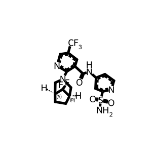 NS(=O)(=O)c1cc(NC(=O)c2cc(C(F)(F)F)cnc2N2C[C@H]3CC[C@@H](C2)C3(F)F)ccn1